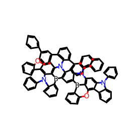 c1ccc(-c2cccc(-c3cccc(-c4cccc(-c5ccccc5)c4)c3N3c4cc5c(cc4B4c6ccccc6N(c6ccccc6)c6c4c3cc3oc4ccccc4c63)B3c4ccccc4Oc4c3c(cc3c4c4ccccc4n3-c3ccccc3)N5c3ccccc3)c2)cc1